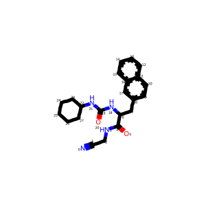 N#CCNC(=O)C(Cc1ccc2ccccc2c1)NC(=O)NC1CCCCC1